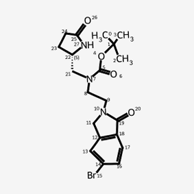 CC(C)(C)OC(=O)N(CCN1Cc2cc(Br)ccc2C1=O)C[C@@H]1CCC(=O)N1